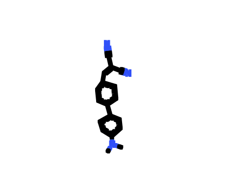 CN(C)c1ccc(-c2ccc(C=C(C#N)C#N)cc2)cc1